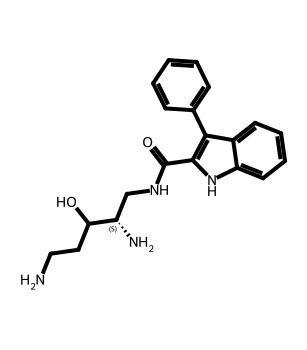 NCCC(O)[C@@H](N)CNC(=O)c1[nH]c2ccccc2c1-c1ccccc1